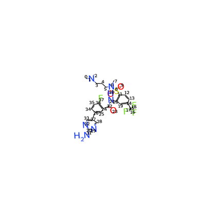 CN(C)CCCN(C)S(=O)(=O)c1ccc(C(F)(F)F)cc1NC(=O)c1cc(-c2cnc(N)nc2)ccc1F